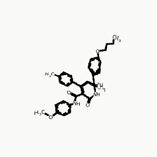 CCCCOc1ccc(C2(C)CC(c3ccc(C)cc3)=C(C(=O)Nc3ccc(OC)cc3)C(=O)N2)cc1